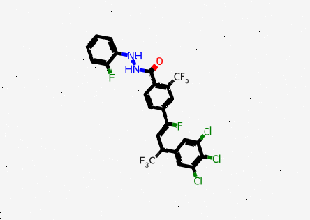 O=C(NNc1ccccc1F)c1ccc(C(F)=CC(c2cc(Cl)c(Cl)c(Cl)c2)C(F)(F)F)cc1C(F)(F)F